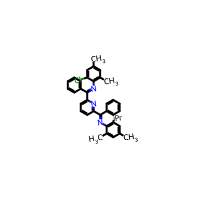 Cc1cc(C)c(/N=C(\c2ccccc2)c2cccc(/C(=N/c3c(C)cc(C)cc3C(C)C)c3ccccc3)n2)c(Cl)c1